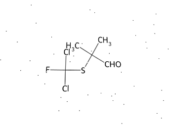 CC(C)(C=O)SC(F)(Cl)Cl